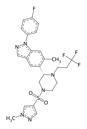 Cc1cc2c(cnn2-c2ccc(F)cc2)cc1[C@H]1CN(S(=O)(=O)c2cnn(C)c2)CCN1CCC(F)(F)F